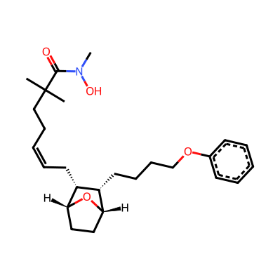 CN(O)C(=O)C(C)(C)CC/C=C\C[C@@H]1[C@H](CCCCOc2ccccc2)[C@@H]2CC[C@H]1O2